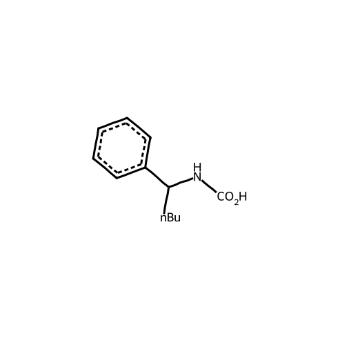 CCCCC(NC(=O)O)c1ccccc1